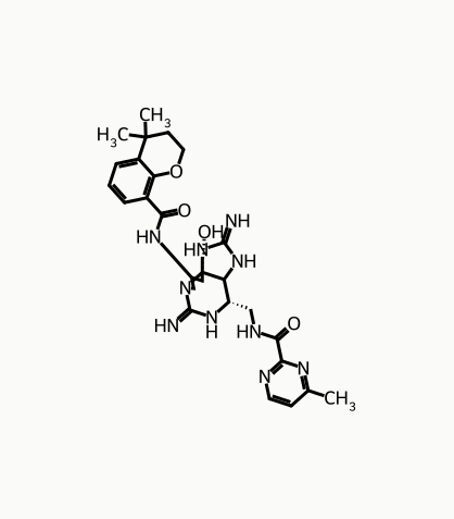 Cc1ccnc(C(=O)NC[C@@H]2NC(=N)N3CC(NC(=O)c4cccc5c4OCCC5(C)C)[C@@H](O)C34NC(=N)NC24)n1